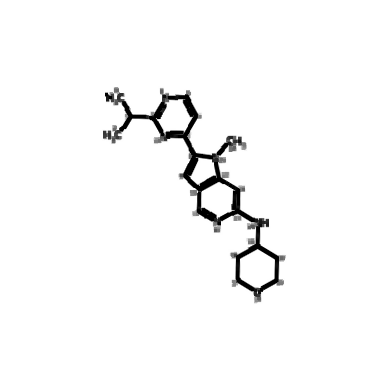 CC(C)c1nccc(-c2cc3cnc(NC4CCOCC4)cc3n2C)n1